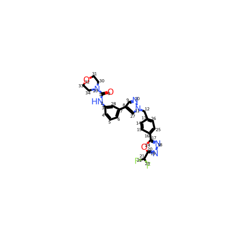 O=C(Nc1cccc(-c2cnn(Cc3ccc(-c4nnc(C(F)F)o4)cc3)c2)c1)N1CCOCC1